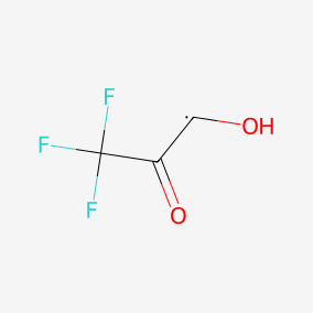 O=C([CH]O)C(F)(F)F